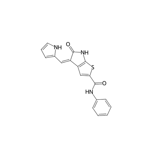 O=C1Nc2sc(C(=O)Nc3ccccc3)cc2C1=Cc1ccc[nH]1